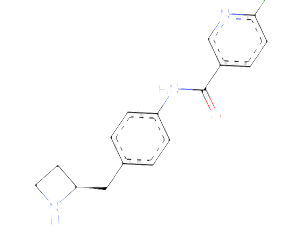 O=C(Nc1ccc(C[C@@H]2CCN2)cc1)c1ccc(Cl)nc1